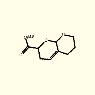 COC(=O)C1CC=C2CCCOC2O1